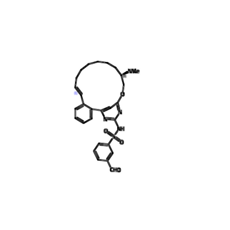 CN[C@@H]1CCCCCC/C=C/c2ccccc2-c2cc(nc(NS(=O)(=O)c3cccc(C=O)c3)n2)OC1